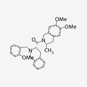 COc1ccccc1CN1Cc2ccccc2C[C@H]1C(=O)N1Cc2cc(OC)c(OC)cc2CC1C